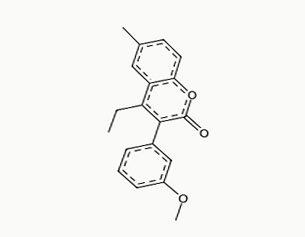 CCc1c(-c2cccc(OC)c2)c(=O)oc2ccc(C)cc12